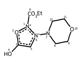 CCOC(=O)[n+]1oc(O)c[n+]1N1CCOCC1